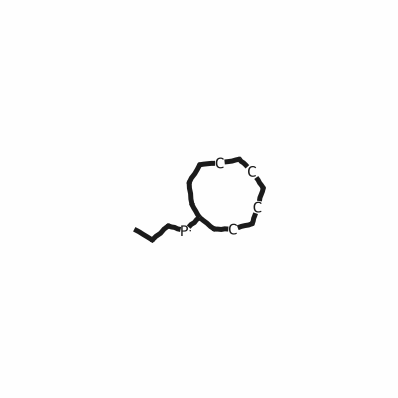 CCC[P]C1CCCCCCCCCCC1